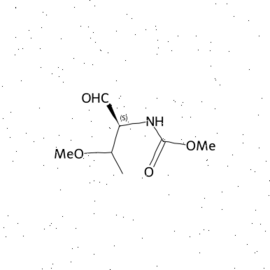 COC(=O)N[C@H](C=O)C(C)OC